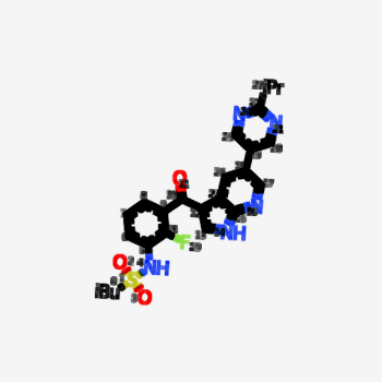 CCC(C)S(=O)(=O)Nc1cccc(C(=O)c2c[nH]c3ncc(-c4cnc(C(C)C)nc4)cc23)c1F